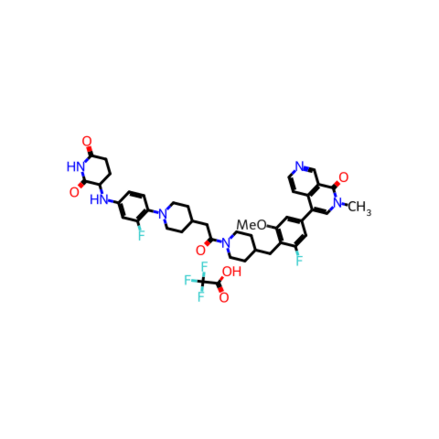 COc1cc(-c2cn(C)c(=O)c3cnccc23)cc(F)c1CC1CCN(C(=O)CC2CCN(c3ccc(NC4CCC(=O)NC4=O)cc3F)CC2)CC1.O=C(O)C(F)(F)F